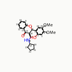 COc1cc(O)c(C2Oc3ccccc3C(=O)/C2=C\NC2CCCC2)cc1OC